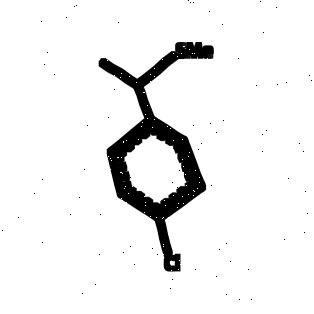 [CH2]SC(C)c1ccc(Cl)cc1